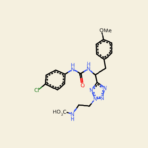 COc1ccc(CC(NC(=O)Nc2ccc(Cl)cc2)c2nnn(CCNC(=O)O)n2)cc1